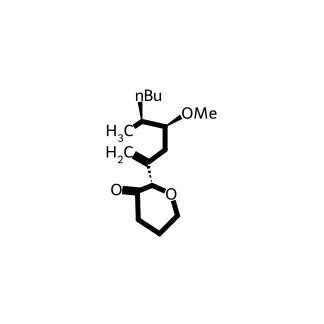 C=C(C[C@H](OC)[C@@H](C)CCCC)[C@@H]1OCCCC1=O